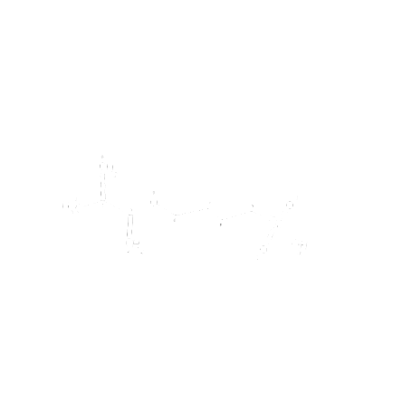 C=C(C)C(=C)OCCCCS(=O)(=O)O